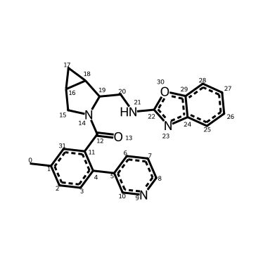 Cc1ccc(-c2cccnc2)c(C(=O)N2CC3CC3C2CNc2nc3ccccc3o2)c1